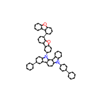 c1ccc(-c2ccc(-n3c4ccccc4c4c3ccc3c5cc(-c6ccccc6)ccc5n(-c5ccc6oc7c(-c8cccc9oc%10ccccc%10c89)cccc7c6c5)c34)cc2)cc1